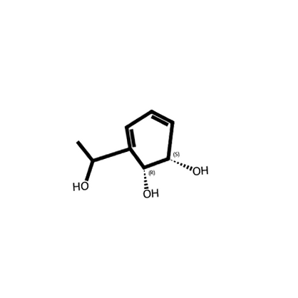 CC(O)C1=CC=C[C@H](O)[C@@H]1O